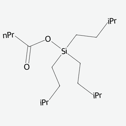 [CH2]CCC(=O)O[Si](CCC(C)C)(CCC(C)C)CCC(C)C